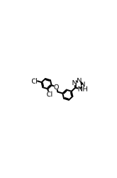 Clc1ccc(OCc2cccc(-c3nnn[nH]3)c2)c(Cl)c1